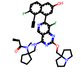 C#Cc1c(F)ccc2cc(O)cc(-c3ncc4c(NCC5(N(C)C(=O)C=C)CCCC5)nc(OCC56CCCN5CCC6)nc4c3F)c12